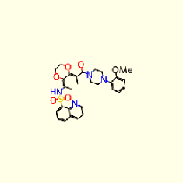 COc1ccccc1N1CCN(C(=O)/C(C)=C2\OCCO\C2=C(\C)NS(=O)(=O)c2cccc3cccnc23)CC1